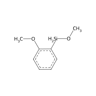 CO[SiH2]c1ccccc1OC